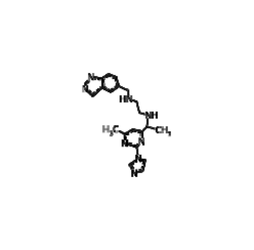 Cc1cc(C(C)NCCNCc2ccc3ncncc3c2)nc(-n2ccnc2)n1